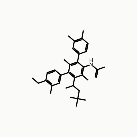 C=C(C)Nc1c(C)c(C(C)CC(C)(C)C)c(-c2ccc(CC)c(C)c2)c(C)c1-c1ccc(C)c(C)c1